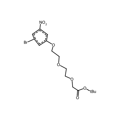 CC(C)(C)OC(=O)COCCOCCOc1cc(Br)cc([N+](=O)[O-])c1